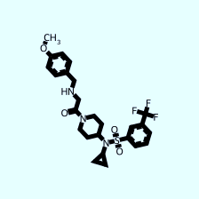 COc1ccc(CNCC(=O)N2CCC(N(C3CC3)S(=O)(=O)c3cccc(C(F)(F)F)c3)CC2)cc1